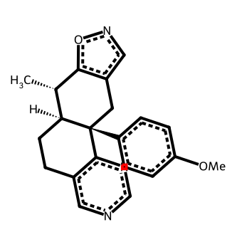 COc1ccc([C@]23Cc4cnoc4[C@@H](C)[C@@H]2CCc2cncnc23)cc1